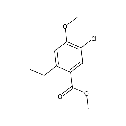 CCc1cc(OC)c(Cl)cc1C(=O)OC